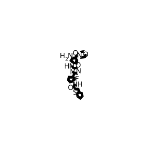 Cn1cc(-c2cccc(NC(=O)c3cc4c(s3)CCCC4)c2F)nc(Nc2ccc(C(=O)N3CCOCC3)c(N)c2)c1=O